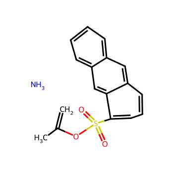 C=C(C)OS(=O)(=O)c1cccc2cc3ccccc3cc12.N